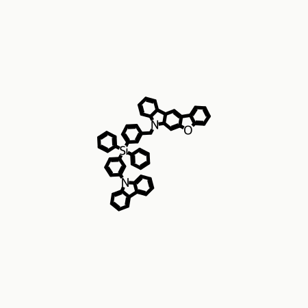 C1=CC2C3C=c4c(oc5ccccc45)=CC3N(Cc3cccc([Si](c4ccccc4)(c4ccccc4)c4cccc(-n5c6ccccc6c6ccccc65)c4)c3)C2C=C1